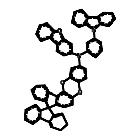 C1=C2C(=CCC1)C1(c3ccccc32)c2ccccc2-c2c1ccc1c2Oc2cc(N(c3cccc(-n4c5ccccc5c5ccccc54)c3)c3ccc4c(c3)oc3ccccc34)ccc2O1